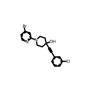 OC1(C#Cc2cccc(Cl)c2)CCN(c2cc(Br)ccn2)CC1